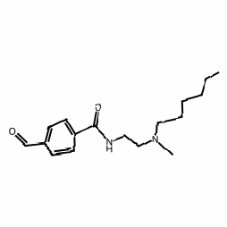 CCCCCCN(C)CCNC(=O)c1ccc(C=O)cc1